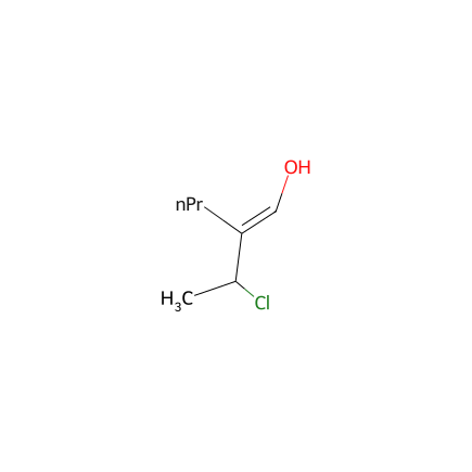 CCC/C(=C\O)C(C)Cl